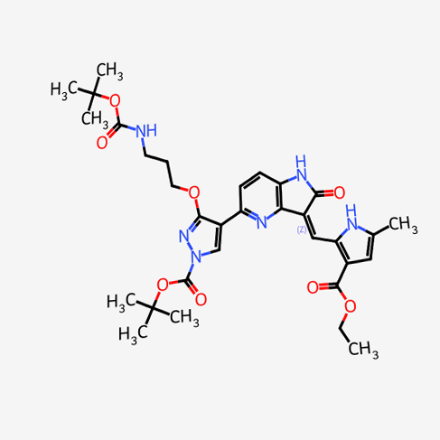 CCOC(=O)c1cc(C)[nH]c1/C=C1\C(=O)Nc2ccc(-c3cn(C(=O)OC(C)(C)C)nc3OCCCNC(=O)OC(C)(C)C)nc21